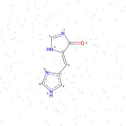 O=C1N=CNC1=Cc1c[nH]cn1